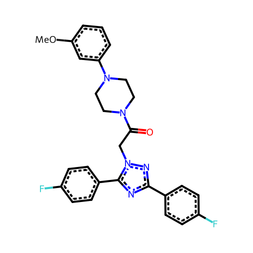 COc1cccc(N2CCN(C(=O)Cn3nc(-c4ccc(F)cc4)nc3-c3ccc(F)cc3)CC2)c1